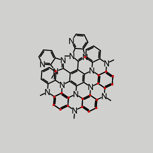 CN1c2ccccc2N(c2c(-c3nc4cccnc4n3C)c(-c3nc4cccnc4n3C)c(N3c4ccccc4N(C)c4ccccc43)c(N3c4ccccc4N(C)c4ccccc43)c2N2c3ccccc3N(C)c3ccccc32)c2ccccc21